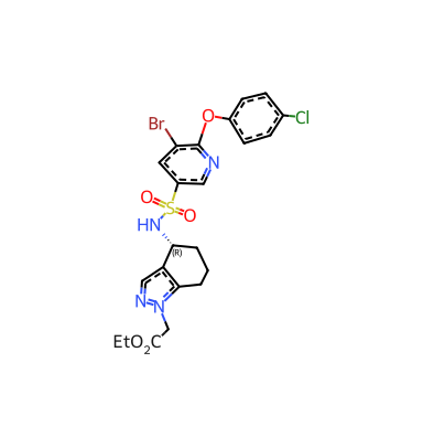 CCOC(=O)Cn1ncc2c1CCC[C@H]2NS(=O)(=O)c1cnc(Oc2ccc(Cl)cc2)c(Br)c1